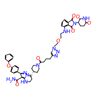 NC(=O)c1c(-c2ccc(Oc3ccccc3)cc2)nn2c1NCC[C@H]2C1CCN(C(=O)CCCc2cn(CCOCCNc3cccc4c3C(=O)N(C3CCC(=O)NC3=O)C4=O)nn2)CC1